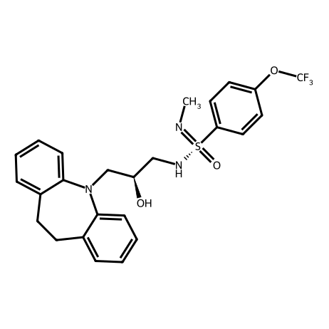 CN=[S@@](=O)(NC[C@@H](O)CN1c2ccccc2CCc2ccccc21)c1ccc(OC(F)(F)F)cc1